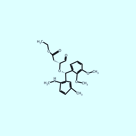 CCOC(=O)C[C@H](C=O)O[C@@H](c1cc(C)ccc1NC)c1cccc(OC)c1OC